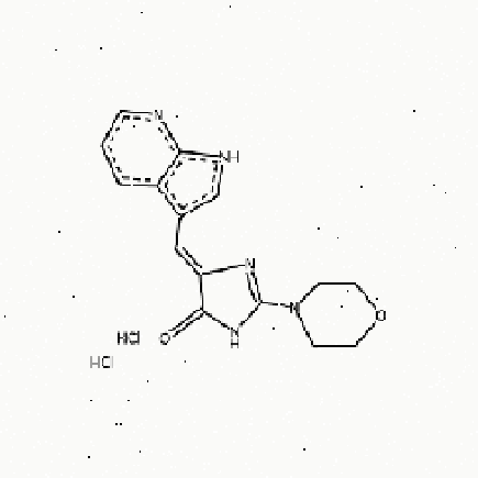 Cl.Cl.O=C1NC(N2CCOCC2)=NC1=Cc1c[nH]c2ncccc12